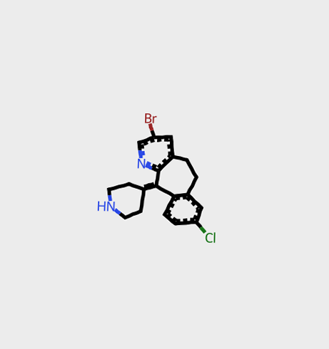 Clc1ccc2c(c1)CCc1cc(Br)cnc1C2=C1CCNCC1